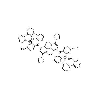 CC(C)c1ccc(N(c2cccc(-c3cccc(-c4ccccc4C(C)C)c3)c2O)c2cc(C3CCCC3)c3ccc4c(N(c5ccc(C(C)C)cc5)c5cccc6c5oc5c(-c7ccccc7C(C)C)cccc56)cc(C5CCCC5)c5ccc2c3c54)cc1